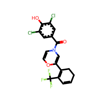 O=C(c1cc(Cl)c(O)c(Cl)c1)N1C=COC(C2=C(C(F)(F)F)C=CCC2)=C1